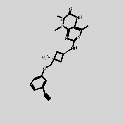 C#Cc1cccc(OC[C@]2(N)C[C@H](Nc3nc(C)c4c(n3)N(C)[C@@H](C)C(=O)N4)C2)c1